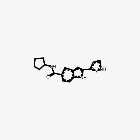 O=C(NC1CCCC1)c1ccc2[nH]c(-c3cc[nH]n3)cc2c1